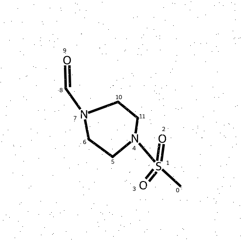 CS(=O)(=O)N1CCN(C=O)CC1